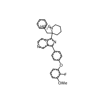 COc1cccc(Oc2ccc(-c3nc(C4(Cc5ccccc5)CCCCN4C(=O)O)n4ccncc34)cc2)c1F